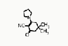 CC1(C)CC(=O)C(C#N)=C(N2CCCC2)C1